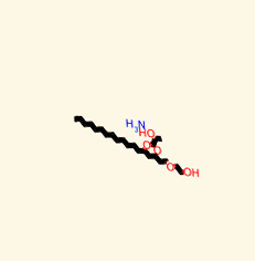 CCCCCCCCCCCCCC(CCCCOCCO)OC(=O)C(C)O.N